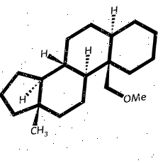 COC[C@]12CCCC[C@@H]1CC[C@H]1[C@@H]3CCC[C@@]3(C)CC[C@@H]12